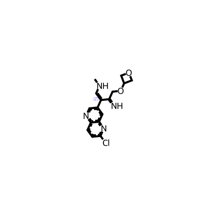 CN/C=C(\C(=N)COC1COC1)c1cnc2ccc(Cl)nc2c1